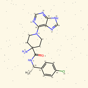 C[C@H](NC(=O)C1(N)CCN(c2ncnc3[nH]cnc23)CC1)c1ccc(Cl)cc1